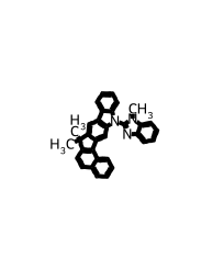 Cn1c(-n2c3ccccc3c3cc4c(cc32)-c2c(ccc3ccccc23)C4(C)C)nc2ccccc21